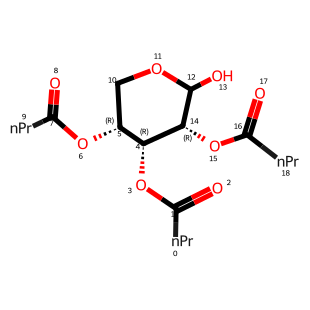 CCCC(=O)O[C@@H]1[C@H](OC(=O)CCC)COC(O)[C@@H]1OC(=O)CCC